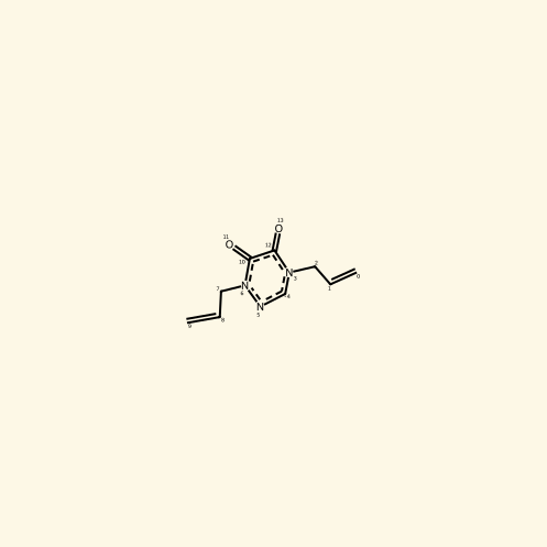 C=CCn1[c]nn(CC=C)c(=O)c1=O